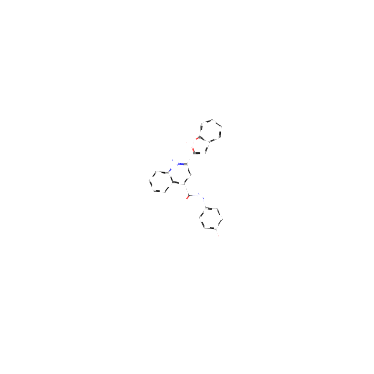 CCOc1ccc(NC(=O)c2cc(-c3cc4ccccc4o3)nc3ccccc23)cc1